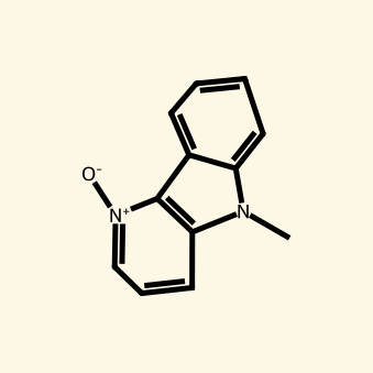 Cn1c2ccccc2c2c1ccc[n+]2[O-]